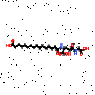 O=C(O)CCCCCCCCCCCCCCC(=O)NC(CCC(=O)NCC(=O)O)C(=O)O